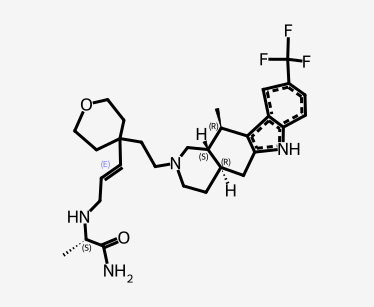 C[C@H](NC/C=C/C1(CCN2CC[C@@H]3Cc4[nH]c5ccc(C(F)(F)F)cc5c4[C@H](C)[C@H]3C2)CCOCC1)C(N)=O